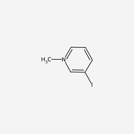 C[n+]1cccc(I)c1